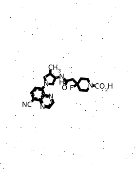 CC1CN(c2ccc(C#N)c3nccnc23)CC1NC(=O)CC1(F)CCN(C(=O)O)CC1